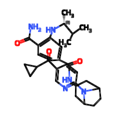 CC(C)[C@@H](C)Nc1cc(C(=O)NC2CC3CCC(C2)N3c2ccc(C(=O)C3CC3)cn2)ccc1C(N)=O